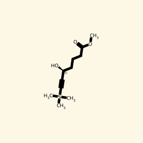 COC(=O)CCC[C@H](O)C#C[Si](C)(C)C